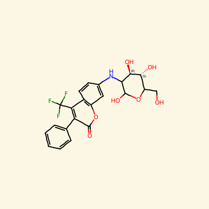 O=c1oc2cc(NC3C(O)OC(CO)[C@@H](O)[C@@H]3O)ccc2c(C(F)(F)F)c1-c1ccccc1